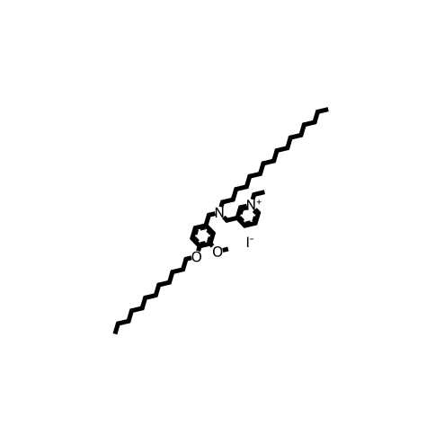 CCCCCCCCCCCCCCCCN(Cc1ccc(OCCCCCCCCCCCC)c(OC)c1)Cc1ccc[n+](CC)c1.[I-]